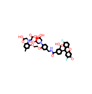 Cc1ccc(N(CC(=O)O)CC(=O)O)c(OCCOc2cc(CNC(=O)c3ccc(-c4c5cc(F)c(=O)cc-5oc5ccc(F)cc45)c(C(=O)O)c3)ccc2N(CC(=O)O)CC(=O)O)c1